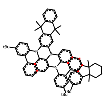 Cc1cc2c3c(c1)N(c1ccc(C(C)(C)C)cc1-c1ccccc1)c1cc4c(cc1B3c1ccc(CC3c5ccc(C(C)(C)C)cc5C5(C)CCCCC35C)cc1N2c1ccc(C(C)(C)C)cc1-c1ccccc1)C(C)(C)c1ccccc1C4(C)C